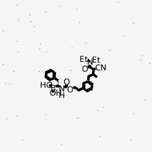 CCN(CC)C(=O)C(C#N)C(C)Cc1cccc(CCOC(=O)N[C@@H](Cc2ccccc2)B(O)O)c1